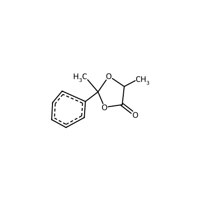 CC1OC(C)(c2ccccc2)OC1=O